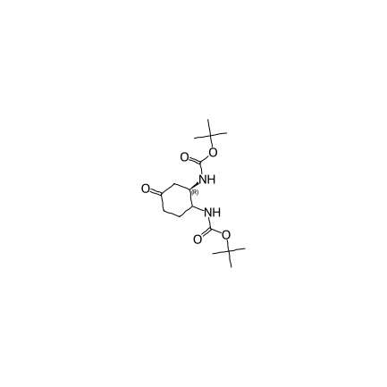 CC(C)(C)OC(=O)NC1CCC(=O)C[C@H]1NC(=O)OC(C)(C)C